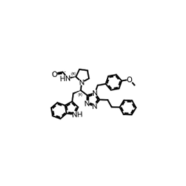 COc1ccc(Cn2c(CCc3ccccc3)nnc2[C@@H](Cc2c[nH]c3ccccc23)N2CCC[C@@H]2N[C]=O)cc1